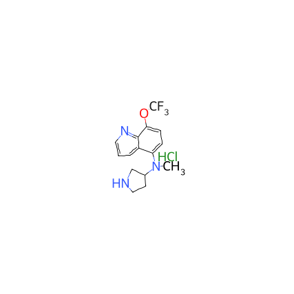 CN(c1ccc(OC(F)(F)F)c2ncccc12)C1CCNC1.Cl